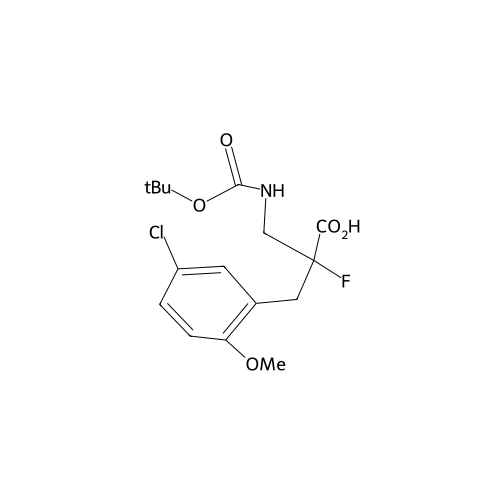 COc1ccc(Cl)cc1CC(F)(CNC(=O)OC(C)(C)C)C(=O)O